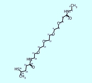 CCNC(=O)CCOCCOCCOCCOCCNC(=O)CCC(C)S